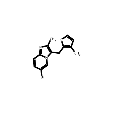 Cc1ccsc1Cc1c(C)nc2ccc(Br)cn12